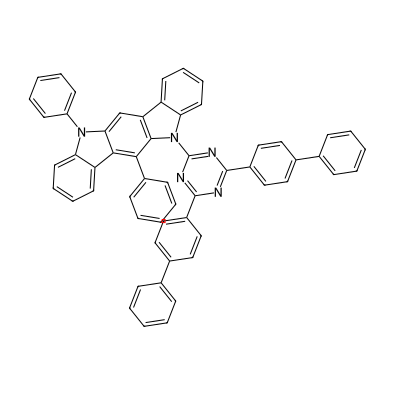 c1ccc(-c2ccc(-c3nc(-c4ccc(-c5ccccc5)cc4)nc(-n4c5ccccc5c5cc6c(c(-c7ccccc7)c54)c4ccccc4n6-c4ccccc4)n3)cc2)cc1